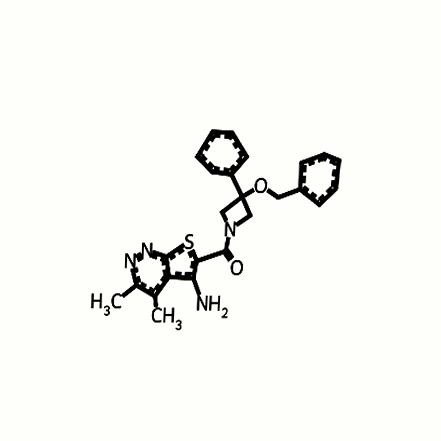 Cc1nnc2sc(C(=O)N3CC(OCc4ccccc4)(c4ccccc4)C3)c(N)c2c1C